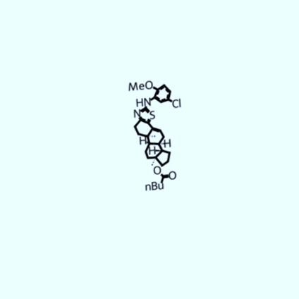 CCCCC(=O)O[C@H]1CC[C@H]2[C@@H]3CC=C4c5sc(Nc6cc(Cl)ccc6OC)nc5CC[C@]4(C)[C@H]3CC[C@]12C